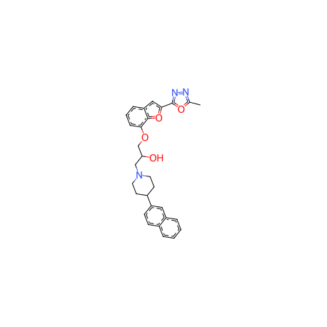 Cc1nnc(-c2cc3cccc(OCC(O)CN4CCC(c5ccc6ccccc6c5)CC4)c3o2)o1